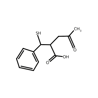 CC(=O)CC(C(=O)O)C(S)c1ccccc1